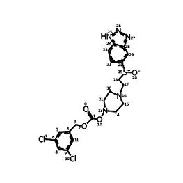 O=C(OCc1cc(Cl)cc(Cl)c1)ON1CCN(CC[S+]([O-])c2ccc3[nH]nnc3c2)CC1